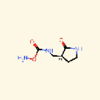 NOC(=O)NC[C@@H]1CCNC1=O